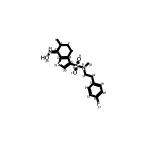 CC1CCc2c(S(=O)(=O)N(C)CCc3ccc(F)cc3)csc2/C1=N\O